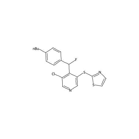 CCCCc1ccc(C(F)c2c(Cl)cncc2Sc2nccs2)cc1